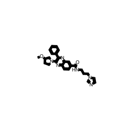 COC1CCN(c2nc3ccc(C(=O)NCCCn4ccnc4)cc3nc2-c2ccccc2)C1